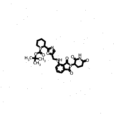 CC(C)(C)OC(=O)N1CCCCC1c1ncc(CNc2cccc3c2C(=O)N(C2CCC(=O)NC2=O)C3=O)o1